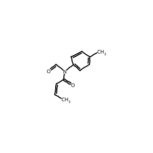 C/C=C\C(=O)N(C=O)c1ccc(C)cc1